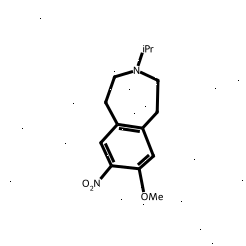 COc1cc2c(cc1[N+](=O)[O-])CCN(C(C)C)CC2